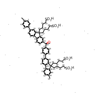 Cc1ccc(-c2ccc3c(c2)C(CCCCS(=O)(=O)O)(CCCCS(=O)(=O)O)c2cc(C(=O)c4ccc(-c5ccc6c(c5)C(CCCCS(=O)(=O)O)(CCCCS(=O)(=O)O)c5cc(C)ccc5-6)cc4)ccc2-3)cc1